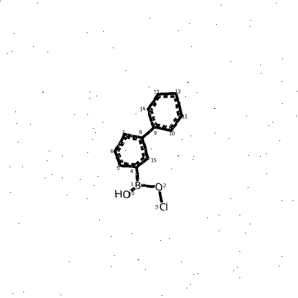 OB(OCl)c1cccc(-c2ccccc2)c1